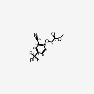 COC(=O)COc1ccc(C(F)(F)F)cc1C#N